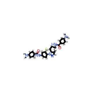 CN(C)c1ccc(C(=O)Nc2ccc(-n3ncc4cc(NC(=O)c5ccc(N(C)C)cc5)ccc43)c(F)c2)cc1